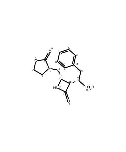 O=C1N[C@H](CN2CCOC2=O)[C@@H]1N(Cc1ccccc1)C(=O)O